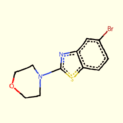 Brc1ccc2sc(N3CCOCC3)nc2c1